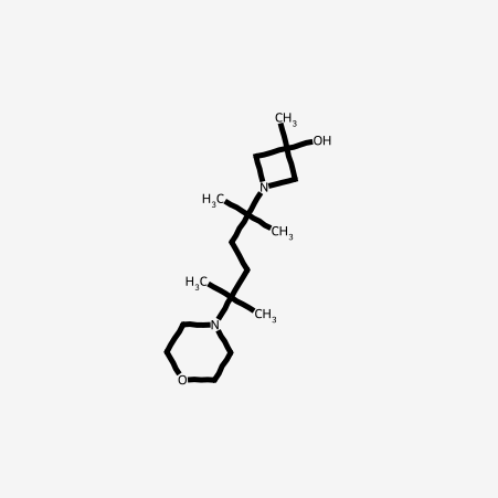 CC1(O)CN(C(C)(C)CCC(C)(C)N2CCOCC2)C1